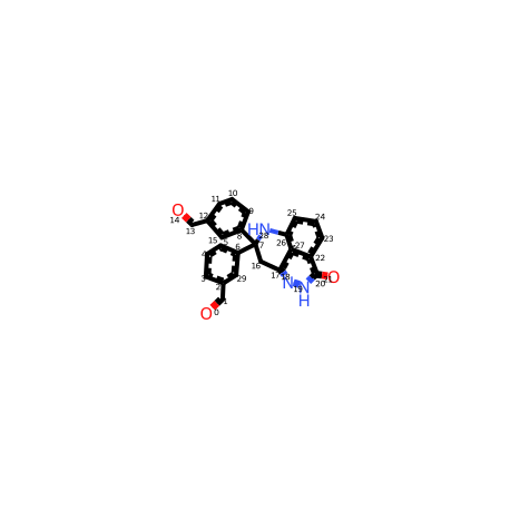 O=Cc1cccc(C2(c3cccc(C=O)c3)Cc3n[nH]c(=O)c4cccc(c34)N2)c1